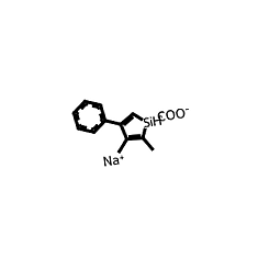 CC1=C(C)[SiH](C(=O)[O-])C=C1c1ccccc1.[Na+]